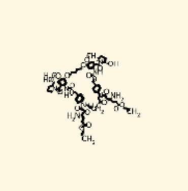 C=CCOC(=O)CC[C@H](N)C(=O)C(=O)N(CC=C)c1ccc(COC(=O)Nc2cc(OCCCCCOc3cc(NC(=O)OCc4ccc(N(CC=C)C(=O)C(=O)[C@@H](N)CCC(=O)OCC=C)cc4)c(C(=O)N4CCC[C@H]4CO)cc3OC)c(OC)cc2C(=O)N2CCCC2CO)cc1